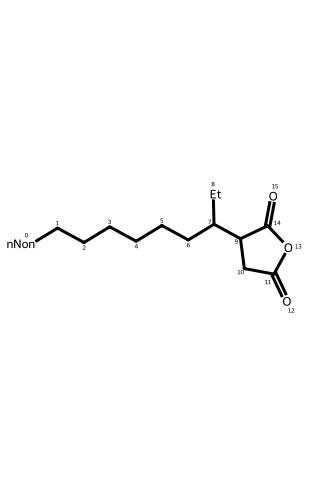 CCCCCCCCCCCCCCCC(CC)C1CC(=O)OC1=O